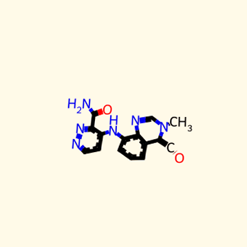 CN1C=Nc2c(Nc3ccnnc3C(N)=O)cccc2C1=C=O